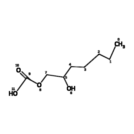 CCCCCC(O)COC(=O)O